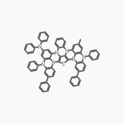 Cc1cc2c3c(c1)N1c4ccccc4N4c5cc(N(c6ccccc6)c6ccccc6)cc6c5B(c5ccc(-c7ccccc7)cc5N6c5ccccc5)c5sc(c1c54)B3c1cc(-c3ccccc3)ccc1N2c1ccccc1